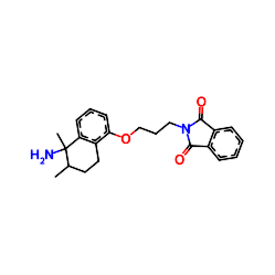 CC1CCc2c(OCCCN3C(=O)c4ccccc4C3=O)cccc2C1(C)N